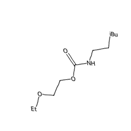 CCOCCOC(=O)NCCC(C)CC